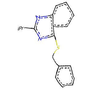 CC(C)c1nc(SCc2ccccc2)c2ccccc2n1